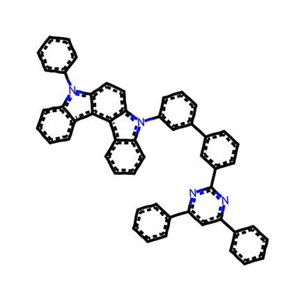 c1ccc(-c2cc(-c3ccccc3)nc(-c3cccc(-c4cccc(-n5c6ccccc6c6c7c8ccccc8n(-c8ccccc8)c7ccc65)c4)c3)n2)cc1